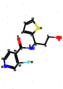 O=C(NC(CCO)c1cccs1)c1ccncc1F